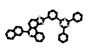 c1ccc(-c2nc(-c3ccccc3)nc(-c3cccc(-c4nc5c(ccc6c(-c7ccc8ccccc8c7)nc7ccccc7c65)o4)c3)n2)cc1